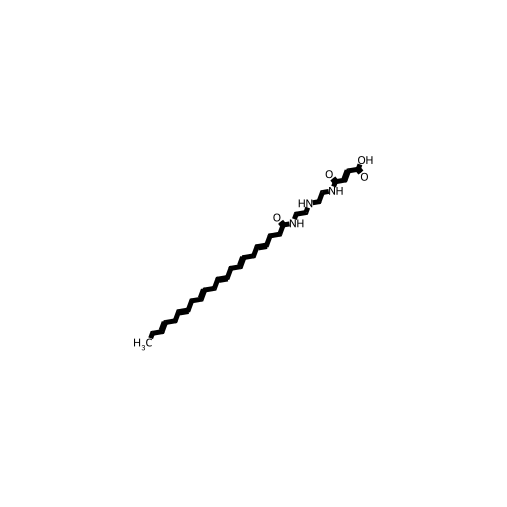 CCC=CCC=CCC=CCC=CCC=CCC=CCCC(=O)NCCNCCNC(=O)C=CC(=O)O